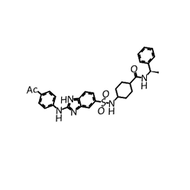 CC(=O)c1ccc(Nc2nc3cc(S(=O)(=O)NC4CCC(C(=O)N[C@H](C)c5ccccc5)CC4)ccc3[nH]2)cc1